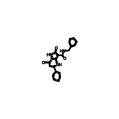 O=C(NCc1ccccc1)c1c(=O)[nH]n2c(=O)cc(-c3ccccc3)[nH]c12